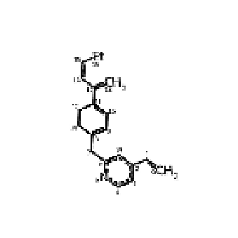 C=Cc1ccnc(CC2=CC=C(C(=C)/C=C\CC)CC2)c1